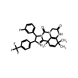 CC1(C)C=CC2(C)C3=NC(c4ccc(C(F)(F)F)cc4)C(c4cccc(F)c4)N3C(=O)N3CC(=O)NC1=C32